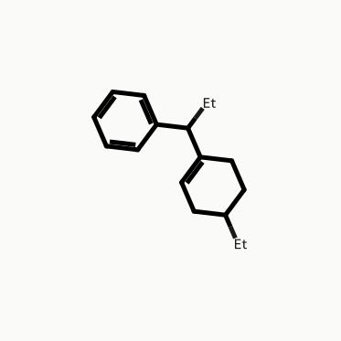 CCC1CC=C(C(CC)c2ccccc2)CC1